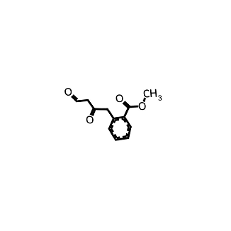 COC(=O)c1ccccc1CC(=O)CC=O